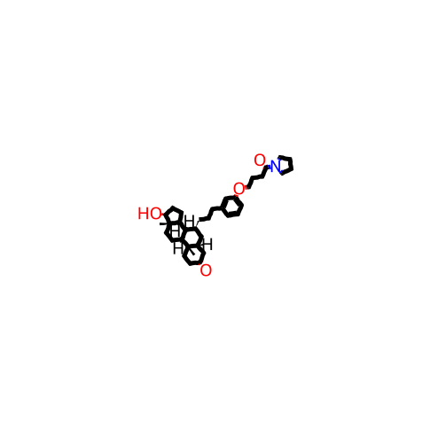 C[C@]12CCC(=O)C[C@@H]1C[C@@H](CCCc1cccc(OCCCC(=O)N3CCCC3)c1)[C@@H]1[C@@H]2CC[C@]2(C)[C@@H](O)CC[C@@H]12